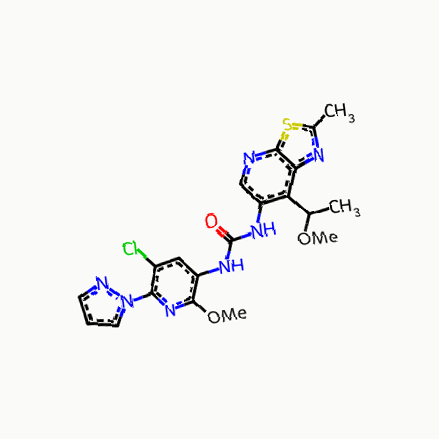 COc1nc(-n2cccn2)c(Cl)cc1NC(=O)Nc1cnc2sc(C)nc2c1C(C)OC